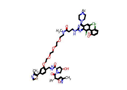 CC(=O)N1CCN(c2nc(NCCC(=O)N(C)CCOCCOCCOCCOc3cc(-c4scnc4C)ccc3CNC(=O)[C@@H]3C[C@@H](O)CN3C(=O)[C@H](c3cc(C)no3)C(C)C)nc3c(F)c(-c4c(O)cccc4F)c(Cl)cc23)CC1